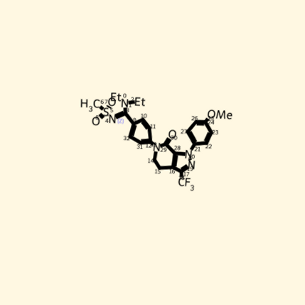 CCN(CC)/C(=N\S(C)(=O)=O)c1ccc(N2CCc3c(C(F)(F)F)nn(-c4ccc(OC)cc4)c3C2=O)cc1